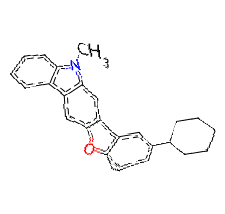 Cn1c2ccccc2c2cc3oc4ccc(C5CCCCC5)cc4c3cc21